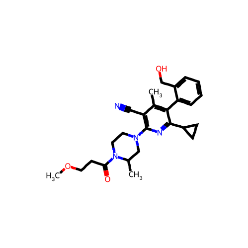 COCCC(=O)N1CCN(c2nc(C3CC3)c(-c3ccccc3CO)c(C)c2C#N)CC1C